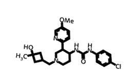 COc1ccc(C2CN(CC3CC(C)(O)C3)CCC2NC(=O)Nc2ccc(Cl)cc2)nc1